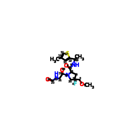 COC[C@@]1(F)CC(C(=O)N[C@H](C)c2cc(C)cs2)N(C(=O)CNC=O)C1